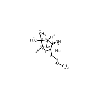 COCC[C@H]1C[C@H]2C[C@@H](C1=N)C2(C)C